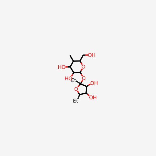 CCC1OC(CC)(OC2OC(CO)C(C)C(O)C2O)C(O)C1O